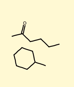 CC1CCCCC1.CCCCC(C)=O